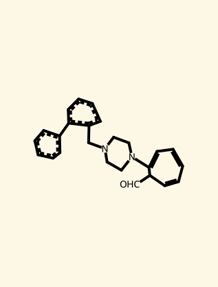 O=CC1C=CC=CC=C1N1CCN(Cc2ccccc2-c2ccccc2)CC1